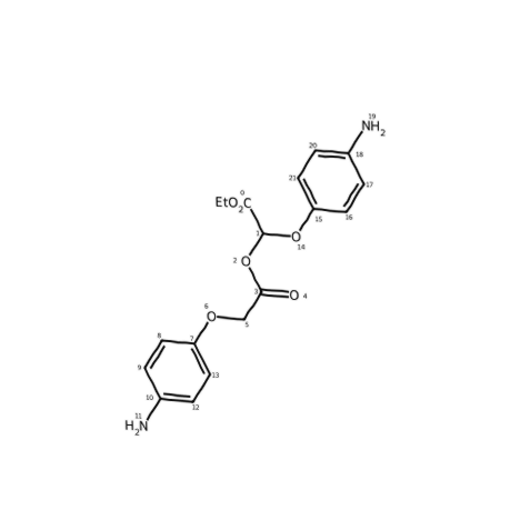 CCOC(=O)C(OC(=O)COc1ccc(N)cc1)Oc1ccc(N)cc1